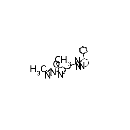 COc1cc(/C=C/c2nc3n(n2)CCCC3c2ccccc2)cnc1-n1cnc(C)c1